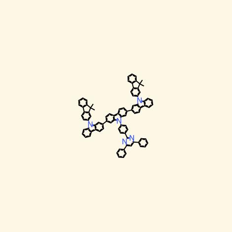 CC1(C)c2ccccc2-c2ccc(-n3c4ccccc4c4ccc(-c5ccc6c7ccc(-c8ccc9c%10ccccc%10n(-c%10ccc%11c(c%10)C(C)(C)c%10ccccc%10-%11)c9c8)cc7n(-c7ccc(-c8nc(-c9ccccc9)cc(-c9ccccc9)n8)cc7)c6c5)cc43)cc21